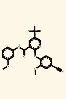 COc1cc(C#N)ccc1Oc1ncc(C(F)(F)F)cc1C(=O)Nc1cccc(SC)c1